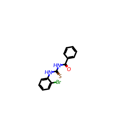 O=C(NC(=S)Nc1ccccc1Br)c1ccccc1